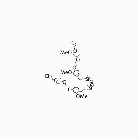 COc1cc(OCCOC(C)CC(C)OCCCl)ccc1CCC[Si](C)(C)O[Si](C)(C)O[Si](C)(C)CCCc1ccc(OCCOC(C)CC(OC)OCCCl)c(OC)c1